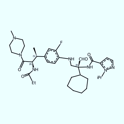 CCC(=O)N[C@@H](C(=O)N1CCN(C)CC1)[C@@H](C)c1ccc(NC[C@](C=O)(NC(=O)c2ccnn2C(C)C)C2CCCCCC2)c(F)c1